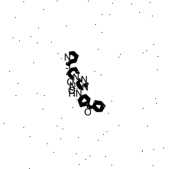 O=C(c1ccccc1)c1ccc(Nc2ncnc(N3CCC(Sc4ccccn4)CC3)c2[N+](=O)[O-])cc1